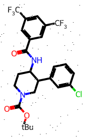 CC(C)(C)OC(=O)N1CCC(NC(=O)c2cc(C(F)(F)F)cc(C(F)(F)F)c2)C(c2cccc(Cl)c2)C1